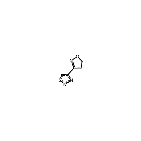 c1snnc1C1=NOCC1